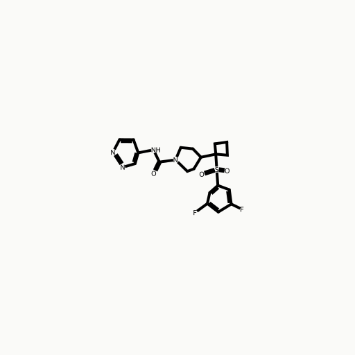 O=C(Nc1ccnnc1)N1CCC(C2(S(=O)(=O)c3cc(F)cc(F)c3)CCC2)CC1